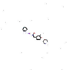 Cc1c(OC2CCN(C)CC2)ccc2cc(NC(=O)Nc3ccc(F)cc3)c(=O)oc12